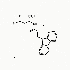 CCC(CC)C[C@H](NC(=O)OCC1c2ccccc2-c2ccccc21)C(=O)O